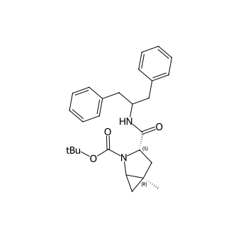 CC(C)(C)OC(=O)N1C2C[C@]2(C)C[C@H]1C(=O)NC(Cc1ccccc1)Cc1ccccc1